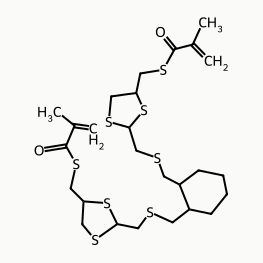 C=C(C)C(=O)SCC1CSC(CSCC2CCCCC2CSCC2SCC(CSC(=O)C(=C)C)S2)S1